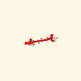 C=C/C(C)=C\C(N)CCCC(=O)N[C@@H](COCc1ccc(CNC(=O)CCOCCOCCOC(=O)NCCCCNC(=O)OCCOCCOCCC(=O)NCc2ccc(COC[C@H](NC(=O)CCCNc3cc(C)ccn3)C(=O)NC(CC(=O)O)c3ccc(-c4cccc5ccccc45)cc3)cc2)cc1)C(=O)NC(CC(=O)O)c1ccc(-c2cccc3ccccc23)cc1